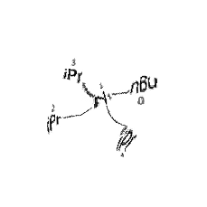 CCCC[N+](C(C)C)(C(C)C)C(C)C